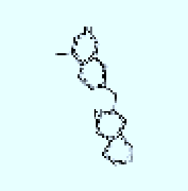 Cc1cncc2cc(Cc3cc4ccccc4cn3)ccc12